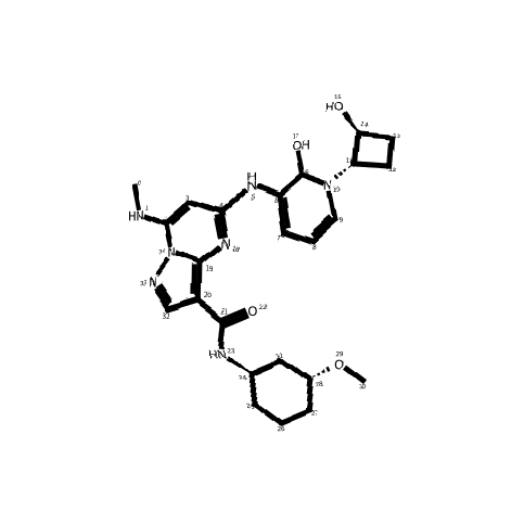 CNc1cc(NC2=CC=CN([C@H]3CC[C@@H]3O)C2O)nc2c(C(=O)N[C@@H]3CCC[C@@H](OC)C3)cnn12